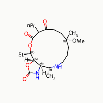 CCCC1C(=O)CC[C@](C)(OC)CCCN[C@H](C)[C@H]2NC(=O)O[C@@H]2[C@@H](CC)OC1=O